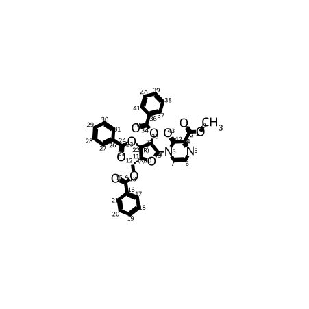 COC(=O)c1nccn([C@@H]2O[C@H](COC(=O)c3ccccc3)[C@@H](OC(=O)c3ccccc3)[C@@H]2OC(=O)c2ccccc2)c1=O